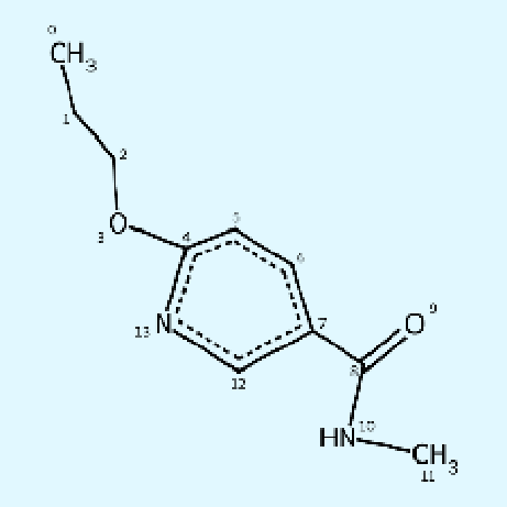 CCCOc1ccc(C(=O)NC)cn1